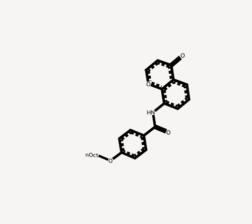 CCCCCCCCOc1ccc(C(=O)Nc2cccc3c(=O)c[c]oc23)cc1